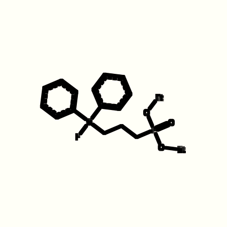 CCOP(=O)(CCC[Si](F)(c1ccccc1)c1ccccc1)OCC